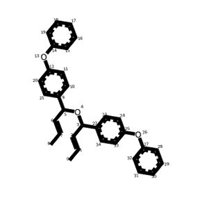 C/C=C/C(OC(/C=C/C)c1ccc(Oc2ccccc2)cc1)c1ccc(Oc2ccccc2)cc1